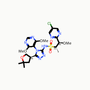 COc1ncnc(OC)c1-n1c(NS(=O)(=O)[C@@H](C)[C@H](OC)c2ncc(Cl)cn2)nnc1[C@@H]1COC(C)(C)C1